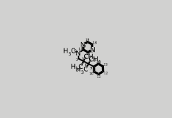 CN(CC(C)(C)C(C)(C)c1ccccc1)c1cnccn1